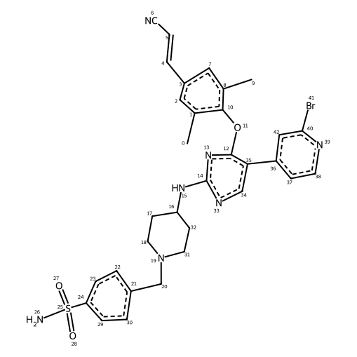 Cc1cc(/C=C/C#N)cc(C)c1Oc1nc(NC2CCN(Cc3ccc(S(N)(=O)=O)cc3)CC2)ncc1-c1ccnc(Br)c1